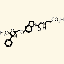 O=C(O)CCNCC(=O)N1CCc2cc(OCc3nc(-c4ccccc4)c(C(F)(F)F)o3)ccc21